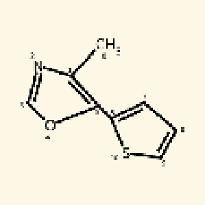 Cc1ncoc1-c1cccs1